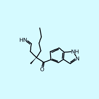 CCCC[C@@](C)(CC=N)C(=O)c1ccc2[nH]ncc2c1